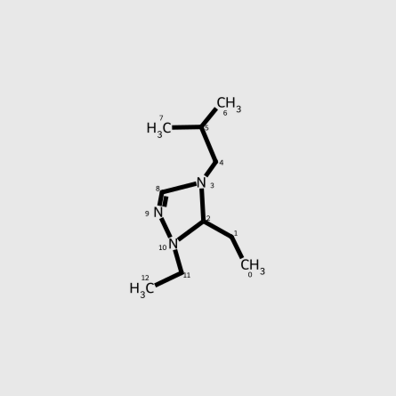 CCC1N(CC(C)C)C=NN1CC